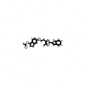 CC(=O)OC1CCc2cc(OCCc3nc(-c4cc5ccccc5s4)oc3C)ccc21